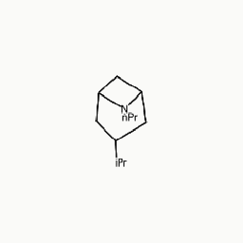 CCCN1C2CC(C(C)C)CC1C2